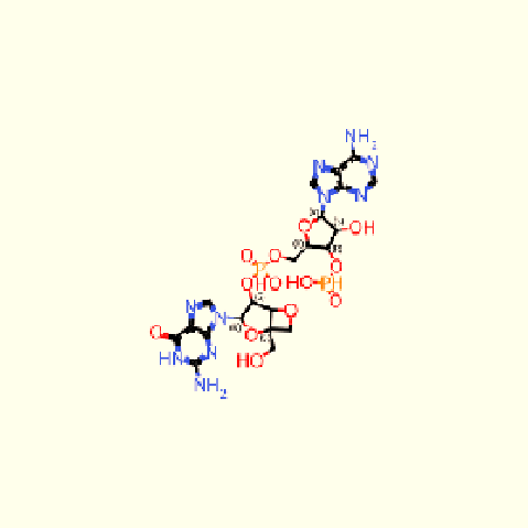 Nc1nc2c(ncn2[C@@H]2O[C@@]3(CO)COC3[C@@H]2OP(=O)(O)OC[C@H]2O[C@@H](n3cnc4c(N)ncnc43)[C@@H](O)[C@H]2O[PH](=O)O)c(=O)[nH]1